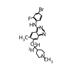 [2H]C([2H])(Oc1cc2ncnc(Nc3ccc(Br)cc3F)c2cc1C)C1CCN(C)CC1